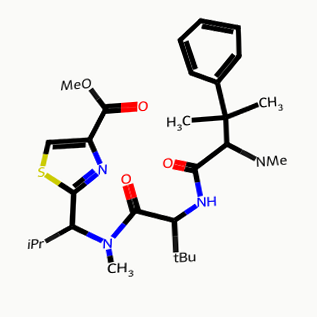 CNC(C(=O)NC(C(=O)N(C)C(c1nc(C(=O)OC)cs1)C(C)C)C(C)(C)C)C(C)(C)c1ccccc1